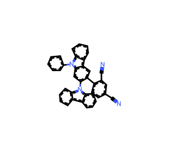 N#Cc1ccc(-c2cc3c4ccccc4n(-c4ccccc4)c3cc2-n2c3ccccc3c3ccccc32)c(C#N)c1